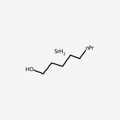 CCCCCCCCO.[SrH2]